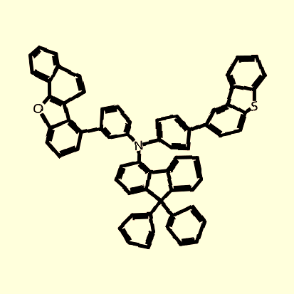 c1ccc(C2(c3ccccc3)c3ccccc3-c3c(N(c4ccc(-c5ccc6sc7ccccc7c6c5)cc4)c4cccc(-c5cccc6oc7c8ccccc8ccc7c56)c4)cccc32)cc1